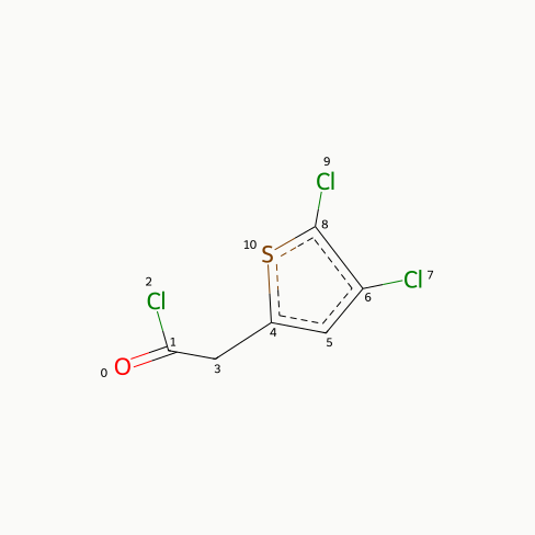 O=C(Cl)Cc1cc(Cl)c(Cl)s1